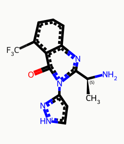 C[C@H](N)c1nc2cccc(C(F)(F)F)c2c(=O)n1-c1cc[nH]n1